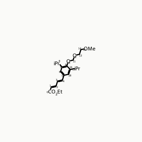 CCOC(=O)/C=C/C=C/c1cc(C(C)C)c(OCOCCOC)c(C(C)C)c1